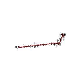 CCOCCOCCOCCOCCOCCOCCOCCC(=O)NCCOCCOCCOCCOCCOCCOCCOCCOCCOCCOCCC(=O)N[C@@H](CCCCNC(=O)CCCC[C@@H]1SC[C@@H]2NC(=O)N[C@@H]21)C(N)=O